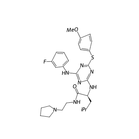 COc1ccc(Sc2nc(Nc3cccc(F)c3)nc(N[C@@H](CC(C)C)C(=O)NCCN3CCCC3)n2)cc1